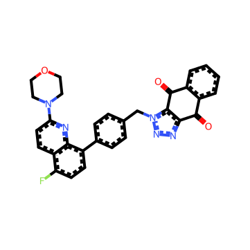 O=C1c2ccccc2C(=O)c2c1nnn2Cc1ccc(-c2ccc(F)c3ccc(N4CCOCC4)nc23)cc1